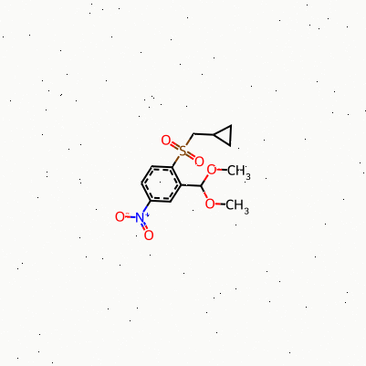 COC(OC)c1cc([N+](=O)[O-])ccc1S(=O)(=O)CC1CC1